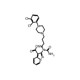 COC(=O)c1c(N(CCCCN2CCN(c3cccc(Cl)c3Cl)CC2)C(N)=O)nn2ccccc12